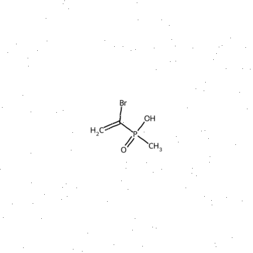 C=C(Br)P(C)(=O)O